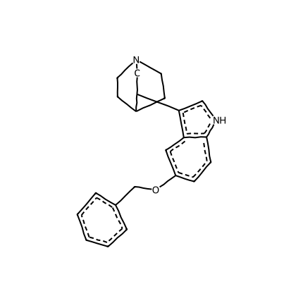 c1ccc(COc2ccc3[nH]cc(C4CN5CCC4CC5)c3c2)cc1